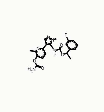 Cc1nc(-c2cnn(C)c2NC(=O)OC(C)c2cccc(F)c2)ccc1OC(N)=O